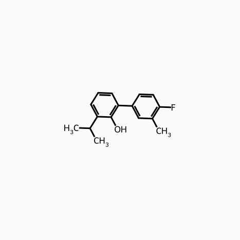 Cc1cc(-c2cccc(C(C)C)c2O)ccc1F